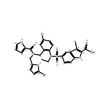 CCN(c1ccc(Cl)cc1CN(Cc1ccc(Br)o1)C(=O)c1ccco1)S(=O)(=O)c1ccc2oc(C(=O)O)c(C)c2c1